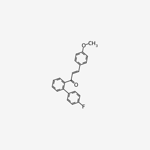 COc1ccc(/C=C/C(=O)c2ccccc2-c2ccc(F)cc2)cc1